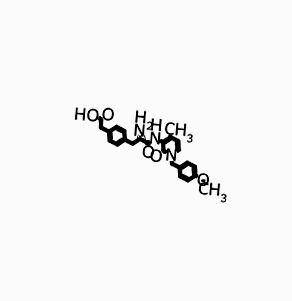 COc1ccc(Cn2ccc(C)c(NC(=O)[C@@H](N)Cc3ccc(CC(=O)O)cc3)c2=O)cc1